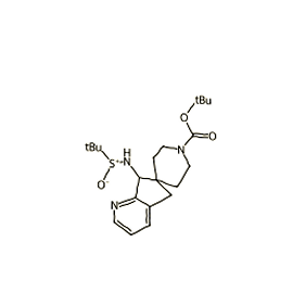 CC(C)(C)OC(=O)N1CCC2(CC1)Cc1cccnc1C2N[S+]([O-])C(C)(C)C